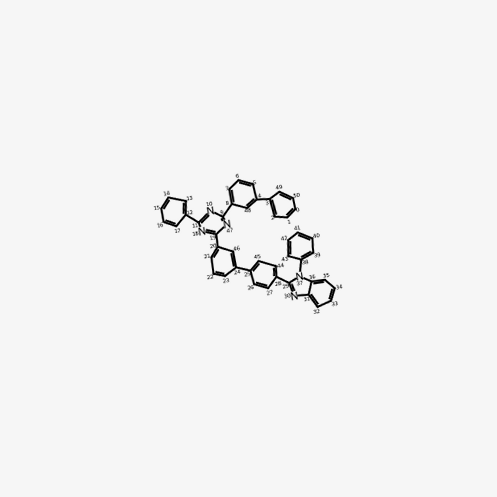 c1ccc(-c2cccc(-c3nc(-c4ccccc4)nc(-c4cccc(-c5ccc(-c6nc7ccccc7n6-c6ccccc6)cc5)c4)n3)c2)cc1